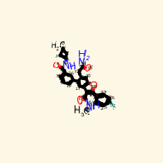 C=C1CC(NC(=O)c2cccc(-c3cc4c(C(=O)NC)c(-c5ccc(F)cc5)oc4cc3CC(N)=O)c2)C1